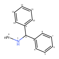 CCCNC(c1ccccc1)c1ccccc1